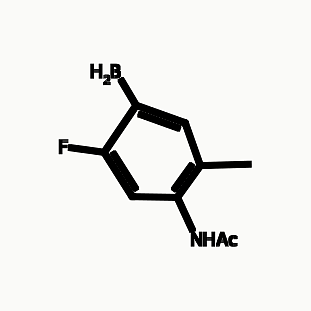 Bc1cc(C)c(NC(C)=O)cc1F